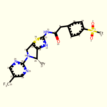 CCS(=O)(=O)c1ccc(CC(=O)Nc2nc3c(s2)CN(c2ncc(C(F)(F)F)cn2)[C@H]3C(C)C)cc1